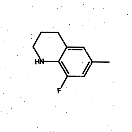 Cc1cc(F)c2c(c1)CCCN2